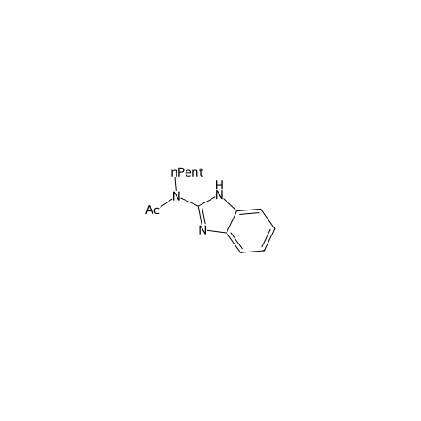 CCCCCN(C(C)=O)c1nc2ccccc2[nH]1